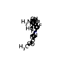 C#C[C@@]1(c2cc(/C=C(\F)c3cnc(OCC(=O)OCC)cn3)cc(F)c2F)CS(=O)(=O)N(C)C(N)=N1